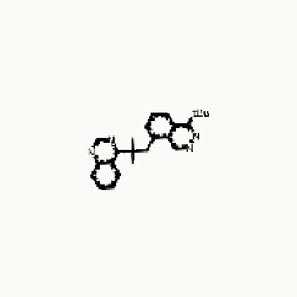 CC(C)(C)c1nncc2c(CC(C)(C)c3ncnc4ccccc34)cccc12